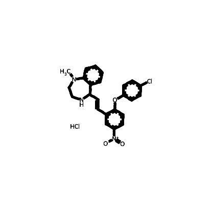 CN1CCNC(C=Cc2cc([N+](=O)[O-])ccc2Oc2ccc(Cl)cc2)c2ccccc21.Cl